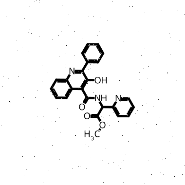 COC(=O)C(NC(=O)c1c(O)c(-c2ccccc2)nc2ccccc12)c1ccccn1